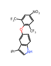 CC(C)c1c[nH]c2ccc(Oc3c(C(F)(F)F)cc([N+](=O)[O-])cc3C(F)(F)F)cc12